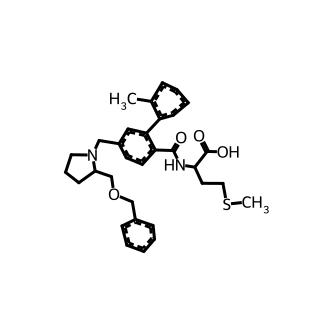 CSCCC(NC(=O)c1ccc(CN2CCCC2COCc2ccccc2)cc1-c1ccccc1C)C(=O)O